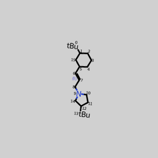 CC(C)(C)C1CCCC(/C=C/CN2CCC(C(C)(C)C)C2)C1